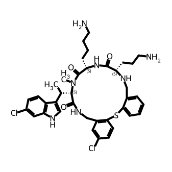 CC(c1c[nH]c2cc(Cl)ccc12)[C@H]1C(=O)NCc2cc(Cl)ccc2Sc2ccccc2CN[C@@H](CCCN)C(=O)N[C@@H](CCCCN)C(=O)N1C